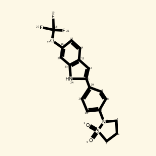 O=S1(=O)CCCN1c1ccc(-c2cc3ccc(OC(F)(F)F)cc3[nH]2)cc1